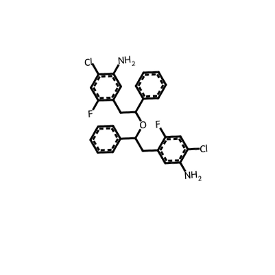 Nc1cc(CC(OC(Cc2cc(N)c(Cl)cc2F)c2ccccc2)c2ccccc2)c(F)cc1Cl